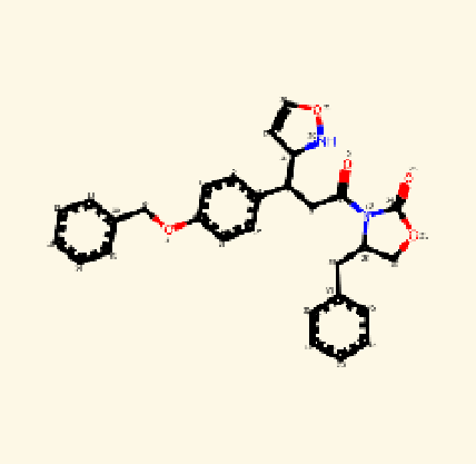 O=C(CC(c1ccc(OCc2ccccc2)cc1)C1C=CON1)N1C(=O)OCC1Cc1ccccc1